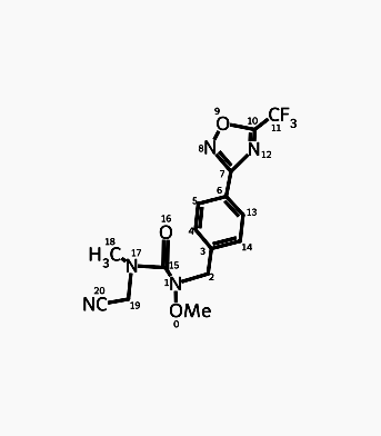 CON(Cc1ccc(-c2noc(C(F)(F)F)n2)cc1)C(=O)N(C)CC#N